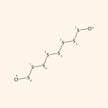 ClSSSSSSSSCl